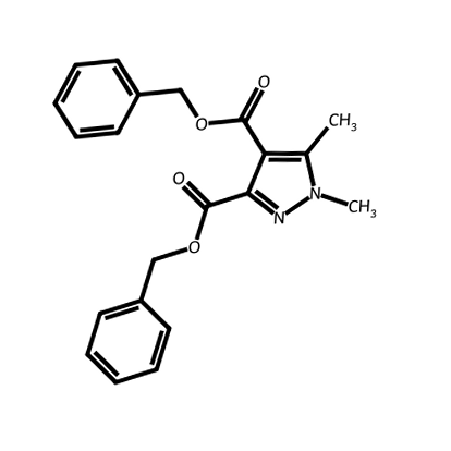 Cc1c(C(=O)OCc2ccccc2)c(C(=O)OCc2ccccc2)nn1C